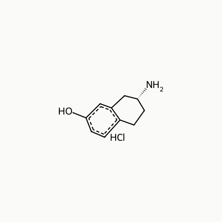 Cl.N[C@@H]1CCc2ccc(O)cc2C1